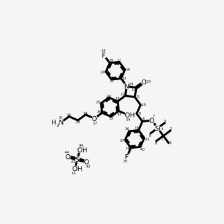 CC(C)(C)[Si](C)(C)OC(CCC1C(=O)N(c2ccc(F)cc2)C1c1ccc(OCCCN)cc1O)c1ccc(F)cc1.O=S(=O)(O)O